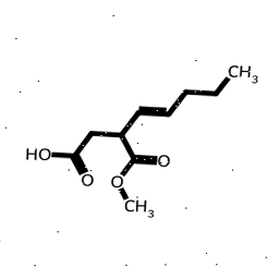 CCCC=CC(CC(=O)O)C(=O)OC